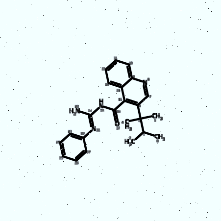 CC(C)C(C)(C)c1cnc2ccccc2c1C(=O)NC(N)=Nc1ccccc1